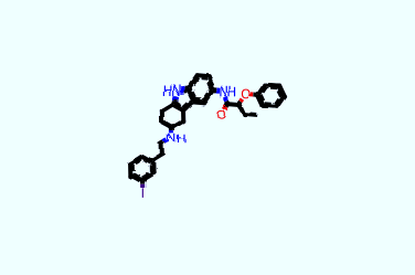 CCC(Oc1ccccc1)C(=O)Nc1ccc2[nH]c3c(c2c1)CC(NCCc1cccc(I)c1)CC3